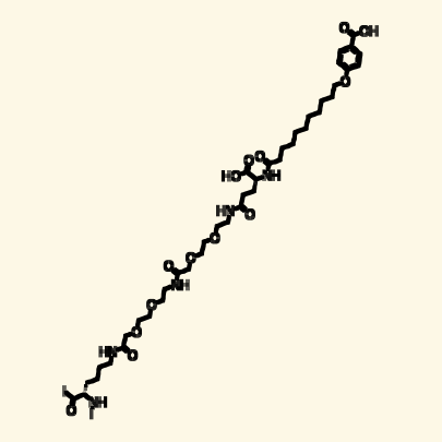 O=C(CC[C@H](NC(=O)CCCCCCCCCCOc1ccc(C(=O)O)cc1)C(=O)O)NCCOCCOCC(=O)NCCOCCOCC(=O)NCCCC[C@H](NI)C(=O)I